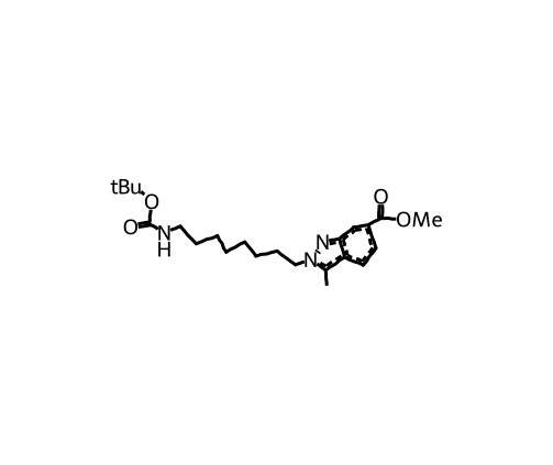 COC(=O)c1ccc2c(C)n(CCCCCCCCNC(=O)OC(C)(C)C)nc2c1